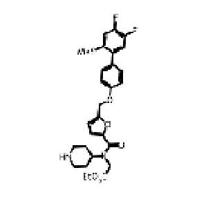 CCOC(=O)CN(C(=O)c1ccc(COc2ccc(-c3cc(F)c(F)cc3SC)cc2)o1)C1CCNCC1